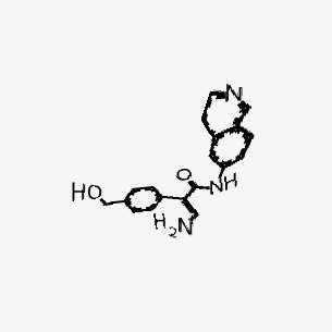 NC=C(C(=O)Nc1ccc2cnccc2c1)c1ccc(CO)cc1